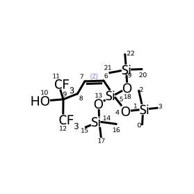 C[Si](C)(C)O[Si](/C=C\CC(O)(C(F)(F)F)C(F)(F)F)(O[Si](C)(C)C)O[Si](C)(C)C